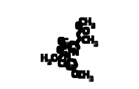 COC(=O)CC(C)c1cnc(N(CC(C)C)C2CCC(OC)CC2)c([N+](=O)[O-])c1